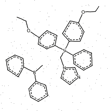 CB(c1ccccc1)c1ccccc1.CCOc1ccc([Si](Cn2ccnc2)(c2ccccc2)c2ccc(OCC)cc2)cc1